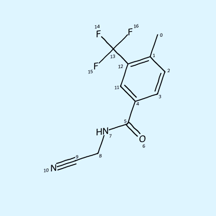 Cc1ccc(C(=O)NCC#N)cc1C(F)(F)F